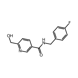 O=C(NCc1ccc(F)cc1)c1ccc(CO)nc1